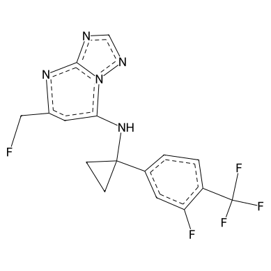 FCc1cc(NC2(c3ccc(C(F)(F)F)c(F)c3)CC2)n2ncnc2n1